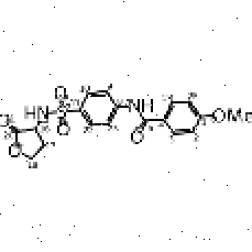 COc1ccc(C(=O)Nc2ccc(S(=O)(=O)N[C@H]3CCOC3=O)cc2)cc1